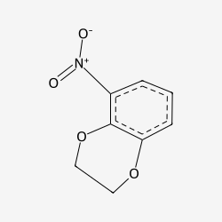 O=[N+]([O-])c1cccc2c1OCCO2